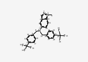 Cn1ncc2cc(N(Cc3ccc(C(F)(F)F)cc3)Cc3ccc(C(F)(F)F)cc3)ccc21